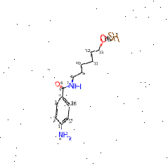 Nc1ccc(C(=O)NCCCCCCOS)cc1